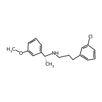 COc1cccc([C@@H](C)NCCCc2cccc(Cl)c2)c1